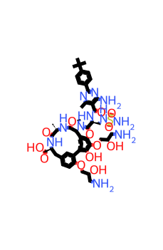 Cc1nc(-c2ccc(C(C)(C)C)cc2)nc(N)c1C(=O)N[C@@H](CNS(N)(=O)=O)C(=O)N(C)[C@@H]1C(=O)N[C@@H](C)C(=O)N[C@H](C(=O)O)Cc2ccc(OC[C@@H](O)CN)c(c2)-c2cc1cc(OC[C@@H](O)CN)c2O